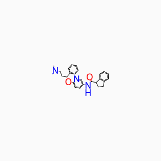 CN(C)CCC(Oc1ccc(NC(=O)C2CCc3ccccc32)cn1)c1ccccc1